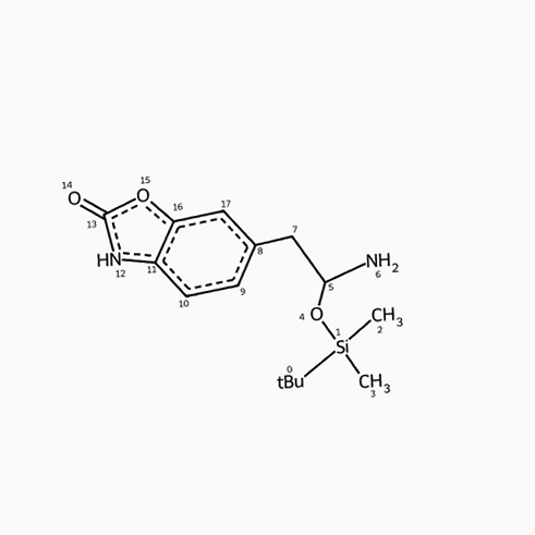 CC(C)(C)[Si](C)(C)OC(N)Cc1ccc2[nH]c(=O)oc2c1